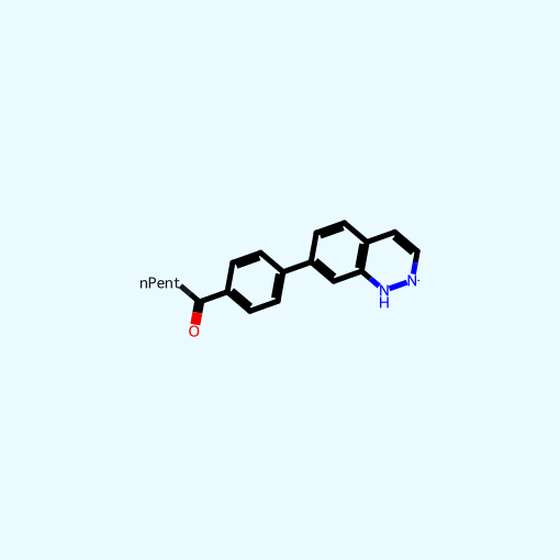 CCCCCC(=O)c1ccc(-c2ccc3c(c2)N[N]C=C3)cc1